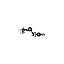 CCc1oc(-c2ccc(C(C)C)cc2)nc1CO[C@H]1CCCC(CCC2SC(=O)NC2=O)C1